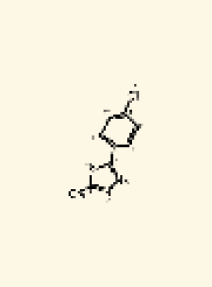 Clc1ccc(-c2nnc(Cl)s2)cc1